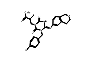 COC(=O)[C@@H](C)Cn1c(=O)[nH]/c(=N\c2ccc3c(c2)CCOC3)n(Cc2ccc(Cl)cc2)c1=O